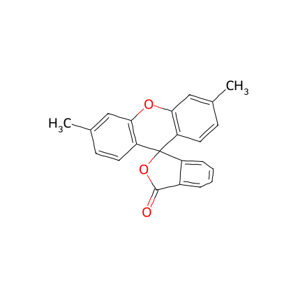 Cc1ccc2c(c1)Oc1cc(C)ccc1C21OC(=O)c2ccccc21